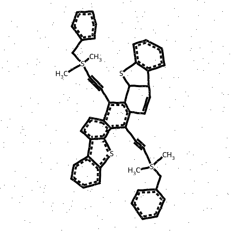 CS(C)(C#Cc1c2c(c(C#CS(C)(C)Cc3ccccc3)c3c1ccc1c4ccccc4sc13)C=CC1c3ccccc3SC21)Cc1ccccc1